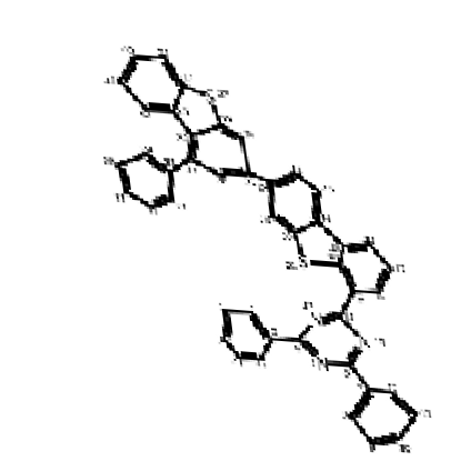 c1ccc(-c2nc(-c3ccccc3)nc(-c3cccc4c3sc3cc(-c5cc(-c6ccccc6)c6c(c5)sc5ccccc56)ccc34)n2)cc1